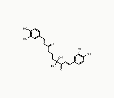 O=C(C=Cc1ccc(O)c(O)c1)CCCC(O)(O)C(=O)C=Cc1ccc(O)c(O)c1